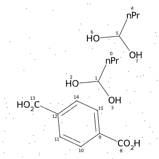 CCCC(O)O.CCCC(O)O.O=C(O)c1ccc(C(=O)O)cc1